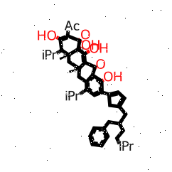 CC(=O)C1=C(O)C(C(C)C)[C@@]2(C)C[C@@]3(C)Cc4c(C(C)C)cc(C5=CC=C(CC(CCC(C)C)Cc6ccccc6)C5)c(O)c4C(=O)C3=C(O)[C@@]2(O)C1=O